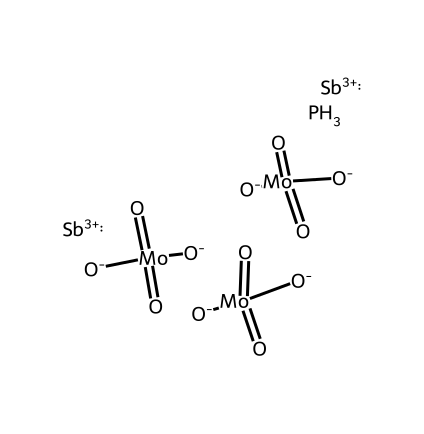 P.[O]=[Mo](=[O])([O-])[O-].[O]=[Mo](=[O])([O-])[O-].[O]=[Mo](=[O])([O-])[O-].[Sb+3].[Sb+3]